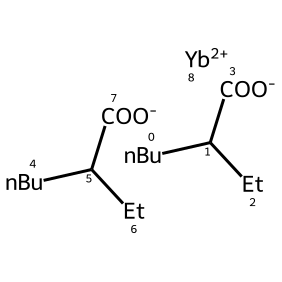 CCCCC(CC)C(=O)[O-].CCCCC(CC)C(=O)[O-].[Yb+2]